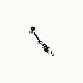 Nc1ccn([C@@H]2O[C@H](COC(=O)CCCCCCC(=O)Nc3ccccc3)CC2(F)F)c(=O)n1